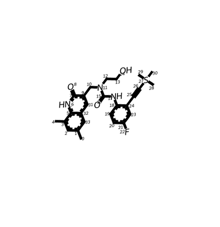 Cc1cc(C)c2[nH]c(=O)c(CN(CCO)C(=O)Nc3ccc(F)cc3C#CS(C)(C)C)cc2c1